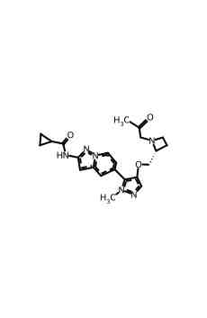 CC(=O)CN1CC[C@@H]1COc1cnn(C)c1-c1ccn2nc(NC(=O)C3CC3)cc2c1